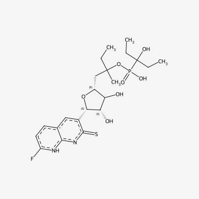 CCC(C)(C[C@H]1O[C@@H](c2cc3ccc(F)[nH]c-3nc2=S)[C@@H](O)C1O)OP(=O)(O)C(O)(CC)CC